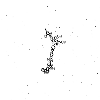 C#Cc1ccc(CNC(=O)[C@@H]2C[C@@H](O)CN2C(=O)[C@H](NC(=O)[C@H]2CCC3(CC2)C[C@H](N2CCN(c4cnc(N5CCN6c7cc(-c8ccccc8O)nnc7NC[C@H]6C5)nc4)CC2)C3)C(C)(C)CCO)c(Cl)c1